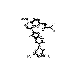 CNc1ncc(-c2nc3cc(N4C[C@@H](C)O[C@H](C)C4)ccc3o2)c2cc(NC(=O)C3CC3)ncc12